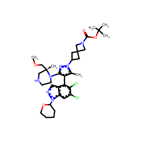 COC[C@@]1(C)CNCCN1c1nn(C2CC3(C2)CN(C(=O)OC(C)(C)C)C3)c(C)c1-c1c(Cl)c(Cl)cc2c1cnn2C1CCCCO1